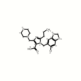 CCCc1nc(CN2CCOCC2)c(C(=O)O)n1Cc1cc2c(cc1Cl)OCO2